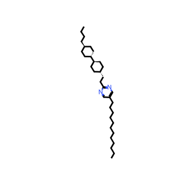 CCCCCCCCCCCCc1cnc(CC[C@H]2CC[C@H]([C@H]3CC[C@H](CCCC)CC3)CC2)nc1